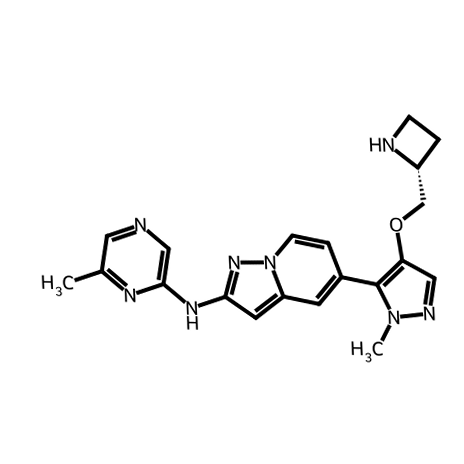 Cc1cncc(Nc2cc3cc(-c4c(OC[C@H]5CCN5)cnn4C)ccn3n2)n1